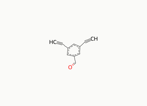 C#Cc1cc(C#C)cc(C=O)c1